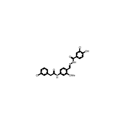 COc1cc(NC(=O)Cc2cccc(Cl)c2)ccc1C=NNC(=O)c1ccc(O)c(Cl)c1